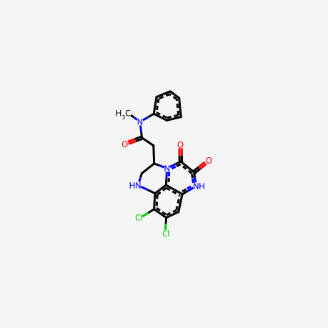 CN(C(=O)CC1CNc2c(Cl)c(Cl)cc3[nH]c(=O)c(=O)n1c23)c1ccccc1